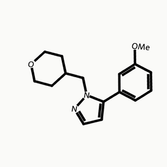 COc1cccc(-c2ccnn2CC2CCOCC2)c1